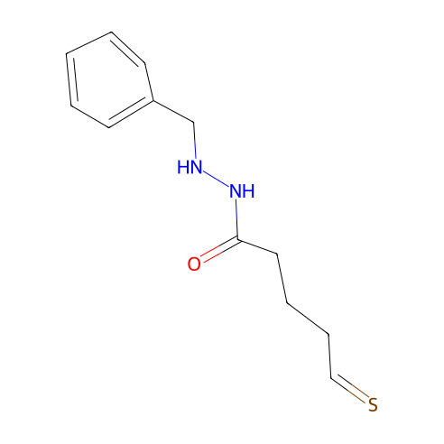 O=C(CCCC=S)NNCc1ccccc1